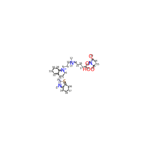 CN1/C(=C/c2cc[n+](CCC[N+](C)(C)CCCCC(O)ON3C(=O)CCC3=O)c3ccccc23)Sc2ccccc21